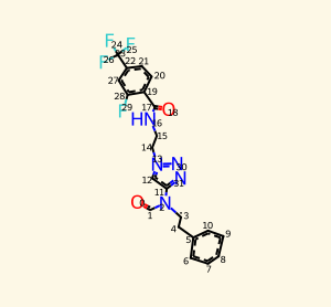 O=CN([CH]Cc1ccccc1)c1cn(CCNC(=O)c2ccc(C(F)(F)F)cc2F)nn1